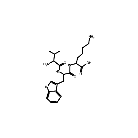 CC(C)C(N)C(=O)NC(Cc1c[nH]c2ccccc12)C(=O)NC(CCCCN)C(=O)O